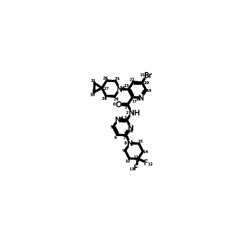 O=C(Nc1nccc(N2CCC(F)(F)CC2)n1)c1ncc(Br)cc1N1CCC2(CC1)CC2